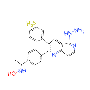 CC(NO)c1ccc(-c2nc3ccnc(NN)c3cc2-c2ccccc2)cc1.S